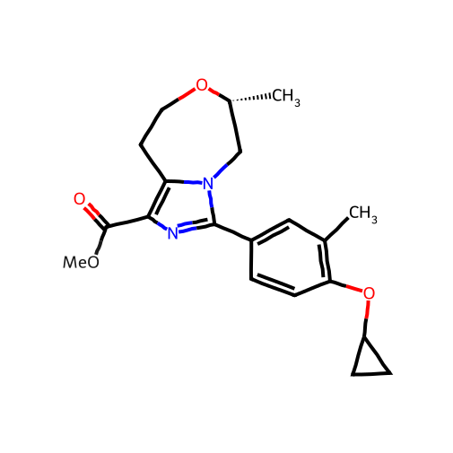 COC(=O)c1nc(-c2ccc(OC3CC3)c(C)c2)n2c1CCO[C@H](C)C2